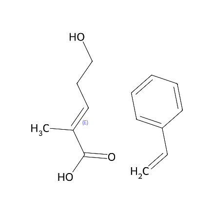 C/C(=C\CCO)C(=O)O.C=Cc1ccccc1